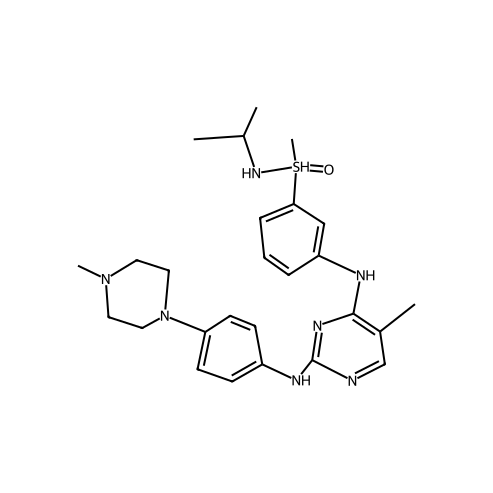 Cc1cnc(Nc2ccc(N3CCN(C)CC3)cc2)nc1Nc1cccc([SH](C)(=O)NC(C)C)c1